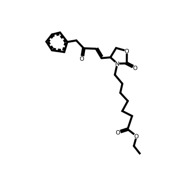 CCOC(=O)CCCCCCN1C(=O)OCC1C=CC(=O)Cc1ccccc1